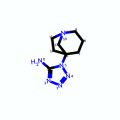 Nc1nnnn1C12CCCN(CC1)C2